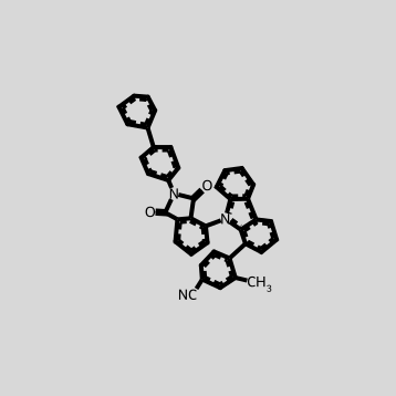 Cc1cc(C#N)ccc1-c1cccc2c3ccccc3n(-c3cccc4c3C(=O)N(c3ccc(-c5ccccc5)cc3)C4=O)c12